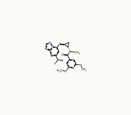 COc1cc(C(=O)N(C)[C@H]2C/C2=C/c2cc(C(F)F)nc3ncnn23)cc(OC)n1